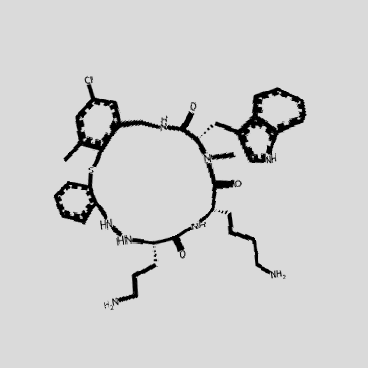 Cc1cc(Cl)cc2c1Sc1ccccc1NN[C@@H](CCCN)C(=O)N[C@@H](CCCCN)C(=O)N(C)[C@@H](Cc1c[nH]c3ccccc13)C(=O)NC2